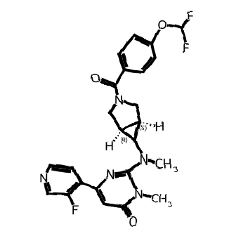 CN(c1nc(-c2ccncc2F)cc(=O)n1C)C1[C@H]2CN(C(=O)c3ccc(OC(F)F)cc3)C[C@@H]12